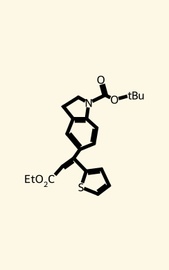 CCOC(=O)C=C(c1ccc2c(c1)CCN2C(=O)OC(C)(C)C)c1cccs1